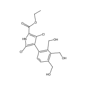 CCOC(=O)c1[nH]c(Cl)c(-c2ccc(CO)c(CO)c2CO)c1Cl